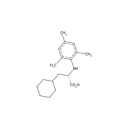 Cc1cc(C)c(N[C@@H](CC2CCCCC2)C(=O)O)c(C)c1